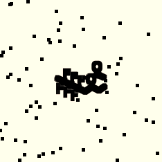 CCC(CC(F)(F)C(F)(F)C(C)(F)F)OC(C)=O